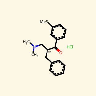 CSc1cccc(C(=O)[C@@H](Cc2ccccc2)CN(C)C)c1.Cl